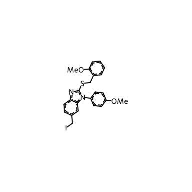 COc1ccc(-n2c(SCc3ccccc3OC)nc3ccc(CI)cc32)cc1